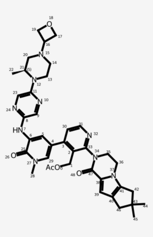 CC(=O)OCc1c(-c2cc(Nc3cnc(N4CCN(C5COC5)C[C@@H]4C)cn3)c(=O)n(C)c2)ccnc1N1CCn2c(cc3c2CC(C)(C)C3)C1=O